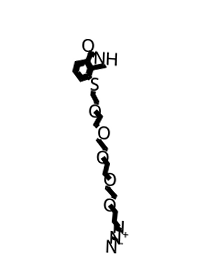 [N-]=[N+]=NCCOCCOCCOCCOCCOCCSc1cccc2c1CNC2=O